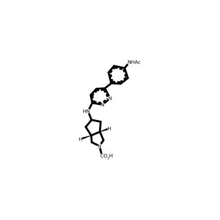 CC(=O)Nc1ccc(-c2ccc(NC3C[C@@H]4CN(C(=O)O)C[C@@H]4C3)nn2)cc1